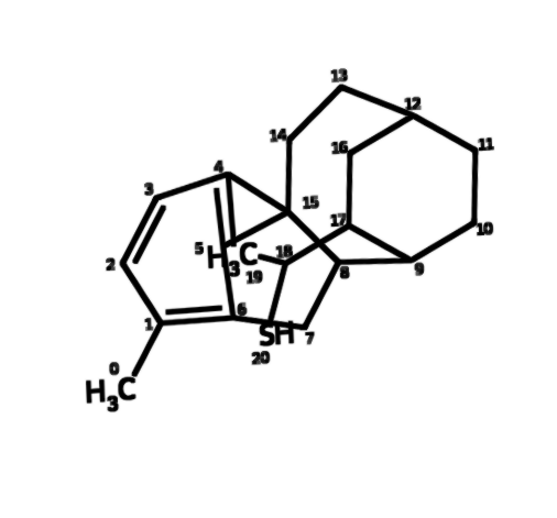 Cc1ccc2c3c1CC1C4CCC(CCC231)CC4C(C)S